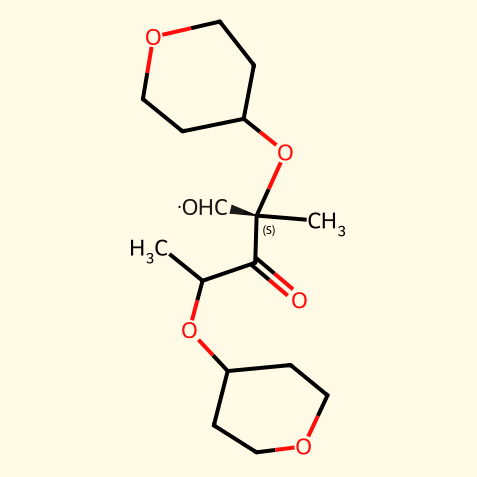 CC(OC1CCOCC1)C(=O)[C@](C)([C]=O)OC1CCOCC1